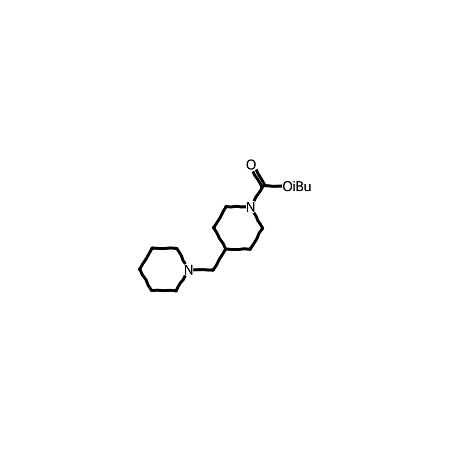 CC(C)COC(=O)N1CCC(CN2CCCCC2)CC1